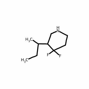 CCC(C)C1CNCCC1(F)F